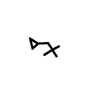 CC(C)(C)[CH]C1CC1